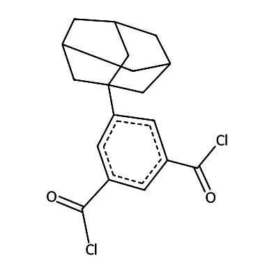 O=C(Cl)c1cc(C(=O)Cl)cc(C23CC4CC(CC(C4)C2)C3)c1